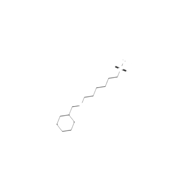 NS(=O)(=O)CCCCCCOCC1CCCCC1